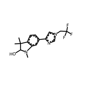 CN1c2cc(-c3cn(CC(F)(F)F)cn3)ccc2C(C)(C)C1O